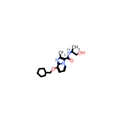 CC(CO)NC(=O)c1c(C(F)(F)F)nc2c(OCC3CCCCC3)cccn12